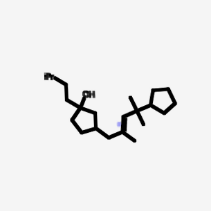 C/C(=C\C(C)(C)C1CCCC1)CC1CCC(O)(CCC(C)C)C1